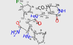 NC(=O)c1[nH]c2ccccc2c1[C@H](Cc1cccc(F)c1)C(=O)N[C@@H](C[C@@H]1CCNC1=O)C(=O)O